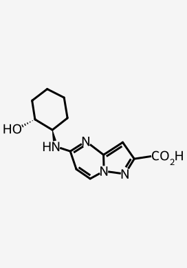 O=C(O)c1cc2nc(N[C@@H]3CCCC[C@H]3O)ccn2n1